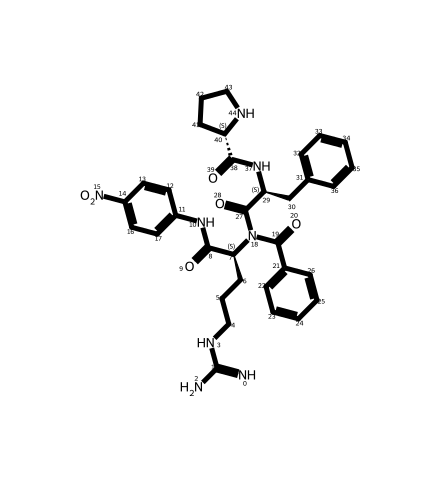 N=C(N)NCCC[C@@H](C(=O)Nc1ccc([N+](=O)[O-])cc1)N(C(=O)c1ccccc1)C(=O)[C@H](Cc1ccccc1)NC(=O)[C@@H]1CCCN1